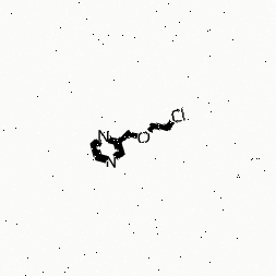 ClCCOCc1cnccn1